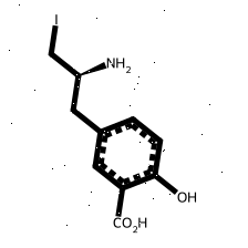 N[C@H](CI)Cc1ccc(O)c(C(=O)O)c1